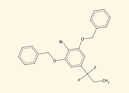 CCC(F)(F)c1cc(OCc2ccccc2)c(Br)c(OCc2ccccc2)c1